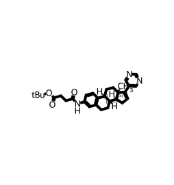 CC(C)(C)OC(=O)CCC(=O)Nc1ccc2c(c1)CC[C@@H]1[C@@H]2CC[C@]2(C)C(c3cncnc3)=CC[C@@H]12